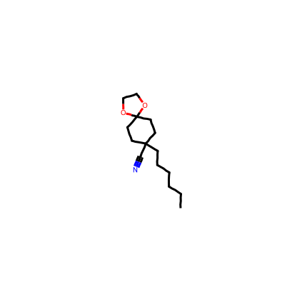 CCCCCCC1(C#N)CCC2(CC1)OCCO2